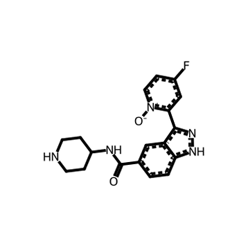 O=C(NC1CCNCC1)c1ccc2[nH]nc(-c3cc(F)cc[n+]3[O-])c2c1